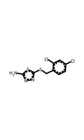 Nc1nnc(SCc2ccc(Cl)cc2Cl)s1